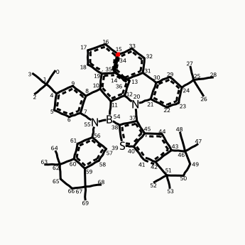 CC(C)(C)c1ccc2c(c1)-c1c3c(cc4ccccc14)N(c1ccc(C(C)(C)C)cc1-c1ccccc1)c1c(sc4cc5c(cc14)C(C)(C)CCC5(C)C)B3N2c1ccc2c(c1)C(C)(C)CCC2(C)C